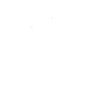 CCOC(c1ccccc1)c1ccc(O)c(N)c1O